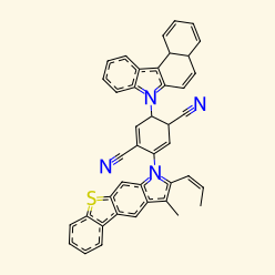 C/C=C\c1c(C)c2cc3c(cc2n1C1=CC(C#N)C(n2c4c(c5ccccc52)C2C=CC=CC2C=C4)C=C1C#N)sc1ccccc13